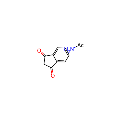 CC(N)=O.O=C1CC(=O)c2ccccc21